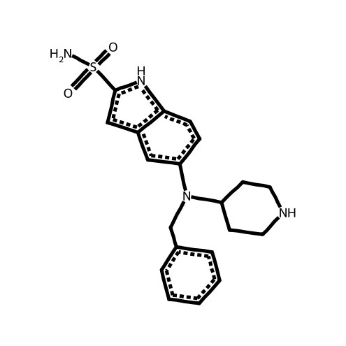 NS(=O)(=O)c1cc2cc(N(Cc3ccccc3)C3CCNCC3)ccc2[nH]1